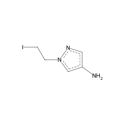 Nc1cnn(CCI)c1